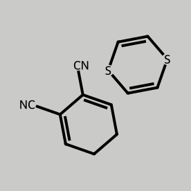 C1=CSC=CS1.N#CC1=CCCC=C1C#N